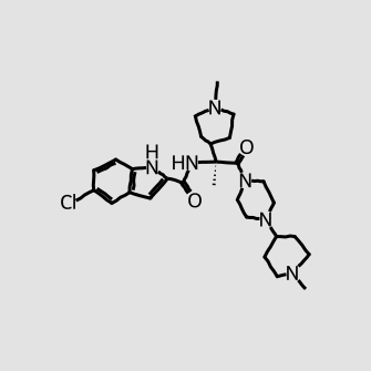 CN1CCC(N2CCN(C(=O)[C@@](C)(NC(=O)c3cc4cc(Cl)ccc4[nH]3)C3CCN(C)CC3)CC2)CC1